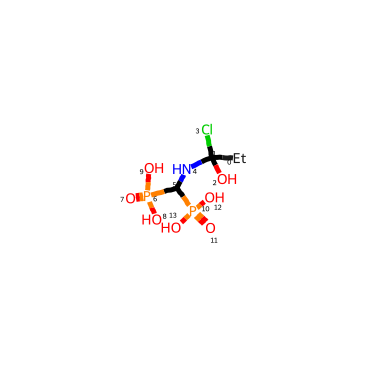 CCC(O)(Cl)NC(P(=O)(O)O)P(=O)(O)O